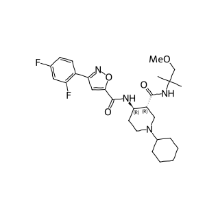 COCC(C)(C)NC(=O)[C@@H]1CN(C2CCCCC2)CC[C@H]1NC(=O)c1cc(-c2ccc(F)cc2F)no1